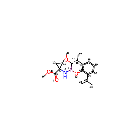 COCP(NC1(C(=O)OC)CC1)Oc1c(C(C)C)cccc1C(C)C